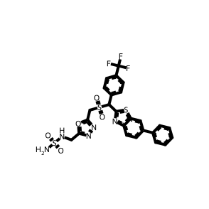 NS(=O)(=O)NCc1nnc(CS(=O)(=O)C(c2ccc(C(F)(F)F)cc2)c2nc3ccc(-c4ccccc4)cc3s2)o1